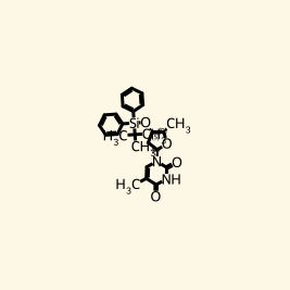 Cc1cn([C@H]2C[C@H](O[Si](c3ccccc3)(c3ccccc3)C(C)(C)C)[C@@H](C)O2)c(=O)[nH]c1=O